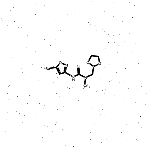 CN(CC1OCCO1)C(=O)Nc1cc(C(C)(C)C)on1